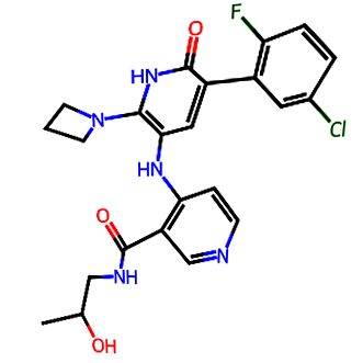 CC(O)CNC(=O)c1cnccc1Nc1cc(-c2cc(Cl)ccc2F)c(=O)[nH]c1N1CCC1